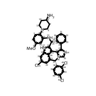 COc1ccc(N2CCC(N)CC2)c(NC(=O)c2[nH]c3cc(Cl)cc4c3c2-c2c(-c3ccccc3)ncn2[C@@H]4c2ccc(Cl)cc2Cl)c1